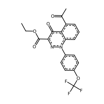 CCOC(=O)c1nn(-c2ccc(OC(F)(F)F)cc2)c2cccc(C(C)=O)c2c1=O